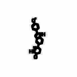 COc1ccc(-c2cc3cc(C4=NNC(=O)CC4)ccc3[nH]2)cc1